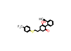 C#Cc1ccccc1C1=C(O)CC(CCSc2ccc(C(F)(F)F)cc2)CC1=O